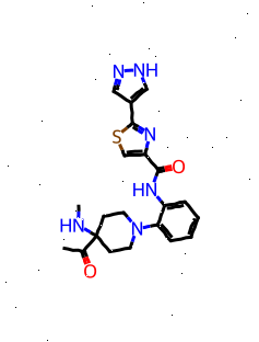 CNC1(C(C)=O)CCN(c2ccccc2NC(=O)c2csc(-c3cn[nH]c3)n2)CC1